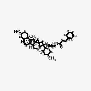 C[C@H]1C[C@H]2O[C@@]34CC[C@H]5[C@@H]6CC=C7C[C@@H](O)CC[C@]7(C)[C@@]6(N)CC56CC63C[C@@H]4[C@]2(N)N(CCNC(=O)CCc2ccccc2)C1